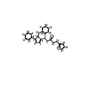 O=C(CCC1=CC=C(c2ccccc2)C1Cc1ccccc1)CCc1ccco1